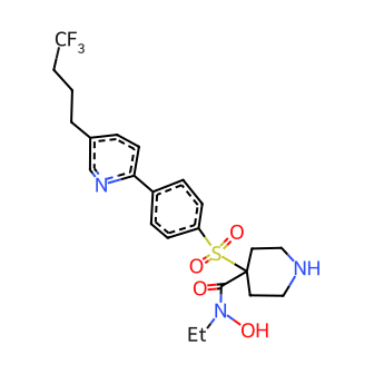 CCN(O)C(=O)C1(S(=O)(=O)c2ccc(-c3ccc(CCCC(F)(F)F)cn3)cc2)CCNCC1